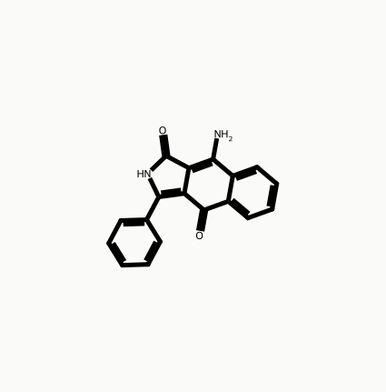 NC1=C2C(=O)NC(c3ccccc3)=C2C(=O)c2ccccc21